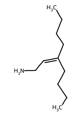 CCCCC(=CCN)CCCC